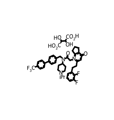 CC(C)N1CCC(N(Cc2ccc(-c3ccc(C(F)(F)F)cc3)cc2)C(=O)Cn2c(CCc3cccc(F)c3F)cc(=O)c3c2CCC3)CC1.O=C(O)C(O)C(O)C(=O)O